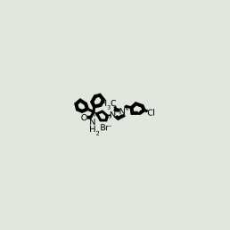 Cc1n([C@H]2CC[C@@H](C(C(N)=O)(c3ccccc3)c3ccccc3)C2)cc[n+]1Cc1ccc(Cl)cc1.[Br-]